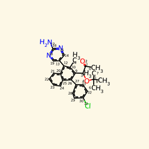 CC(=O)C(OC(C)(C)C)c1c(C)c(-c2cnc(N)nc2)c2ccccc2c1-c1ccc(Cl)cc1